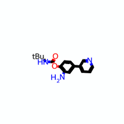 CC(C)(C)NC(=O)Oc1ccc(-c2cccnc2)cc1N